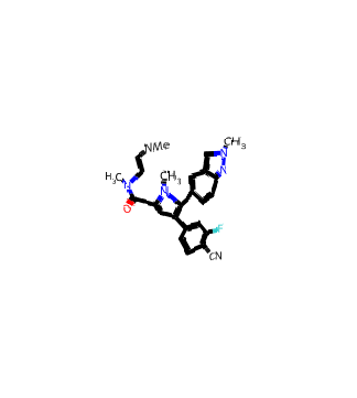 CNCCN(C)C(=O)c1cc(-c2ccc(C#N)c(F)c2)c(-c2ccc3nn(C)cc3c2)n1C